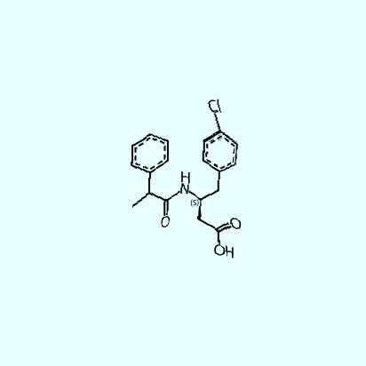 CC(C(=O)N[C@H](CC(=O)O)Cc1ccc(Cl)cc1)c1ccccc1